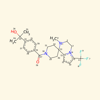 CN1CCn2c(C(F)(F)F)ccc2C12CCN(C(=O)c1ccc(C(C)(C)O)cc1)CC2